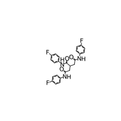 O=C(CC(CC(=O)Nc1ccc(F)cc1)C(=O)Nc1ccc(F)cc1)Nc1ccc(F)cc1